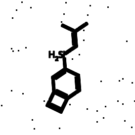 CC(C)=C[SiH2]c1ccc2c(c1)C=C2